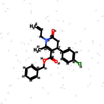 C=CCN1C(=O)CC(c2ccc(Cl)cc2)C(C(=O)OCc2ccccc2)=C1C